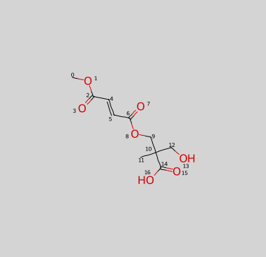 COC(=O)/C=C/C(=O)OCC(C)(CO)C(=O)O